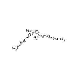 C=C(COCCOCCOCCC)c1cccc(C(=C)COCCOCCOCCC)c1